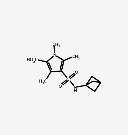 Cc1c(S(=O)(=O)NC23CC(C2)C3)c(C)n(C)c1C(=O)O